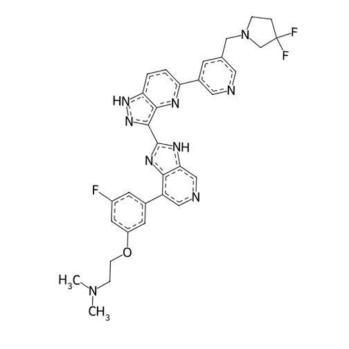 CN(C)CCOc1cc(F)cc(-c2cncc3[nH]c(-c4n[nH]c5ccc(-c6cncc(CN7CCC(F)(F)C7)c6)nc45)nc23)c1